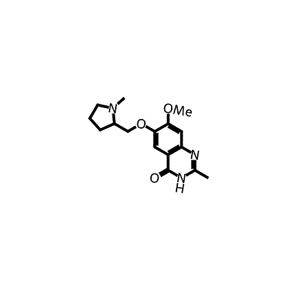 COc1cc2nc(C)[nH]c(=O)c2cc1OCC1CCCN1C